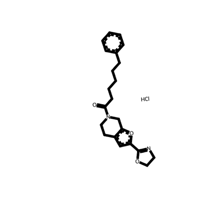 Cl.O=C(CCCCCc1ccccc1)N1CCc2cc(C3=NCCO3)oc2C1